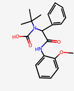 COc1ccccc1NC(=O)C(c1ccccc1)N(C(=O)O)C(C)(C)C